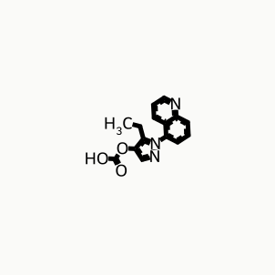 CCc1c(OC(=O)O)cnn1-c1cccc2ncccc12